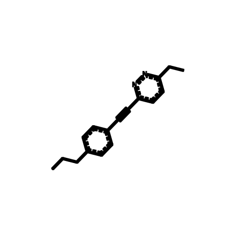 CCCc1ccc(C#Cc2ccc(CC)nn2)cc1